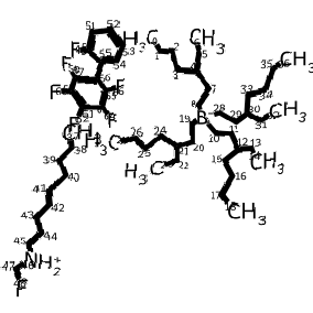 CCCCC(CC)CC[B-](CCC(CC)CCCC)(CCC(CC)CCCC)CCC(CC)CCCC.CCCCCCCCC[NH2+]CF.Fc1ccccc1-c1c(F)c(F)c(F)c(F)c1F